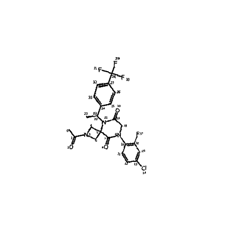 CC(=O)N1CC2(C1)C(=O)N(c1ccc(Cl)cc1F)CC(=O)N2[C@@H](C)c1ccc(C(F)(F)F)cc1